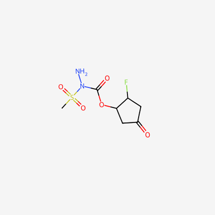 CS(=O)(=O)N(N)C(=O)OC1CC(=O)CC1F